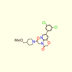 COCC1CCN(C(=O)CN2C(=O)COc3cc(-c4cc(Cl)cc(Cl)c4)cnc32)CC1